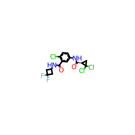 O=C(NC1CC(F)(F)C1)c1cc(NC(=O)[C@H]2CC2(Cl)Cl)ccc1Cl